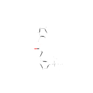 CC(C)(C(=O)O)c1cccc(/C=C/C(=O)OCc2ccccc2)c1